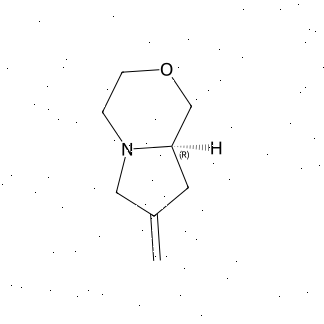 C=C1C[C@@H]2COCCN2C1